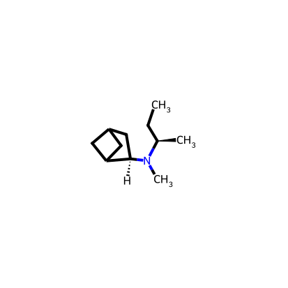 CC[C@@H](C)N(C)[C@@H]1CC2CC1C2